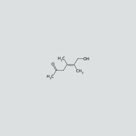 CC(=O)C/C(C)=C(\C)CO